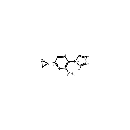 Cc1nc([C@H]2CO2)ccc1-n1cnnn1